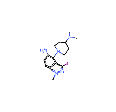 CN(C)C1CCN(c2c(N)ccc3c2c(I)nn3C)CC1